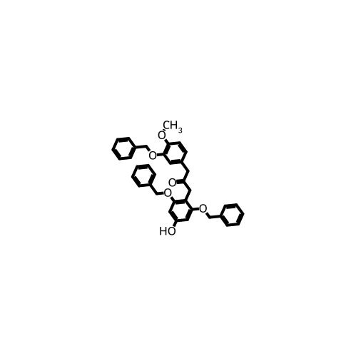 COc1ccc(CC(=O)Cc2c(OCc3ccccc3)cc(O)cc2OCc2ccccc2)cc1OCc1ccccc1